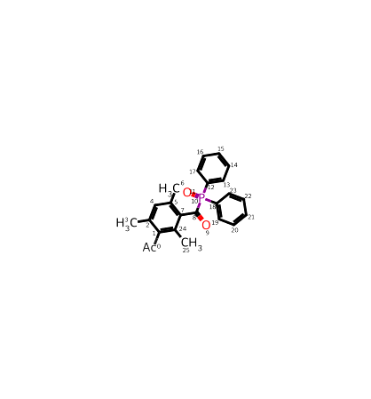 CC(=O)c1c(C)cc(C)c(C(=O)P(=O)(c2ccccc2)c2ccccc2)c1C